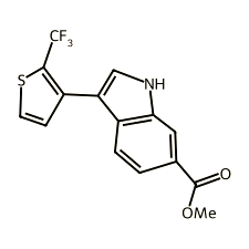 COC(=O)c1ccc2c(-c3ccsc3C(F)(F)F)c[nH]c2c1